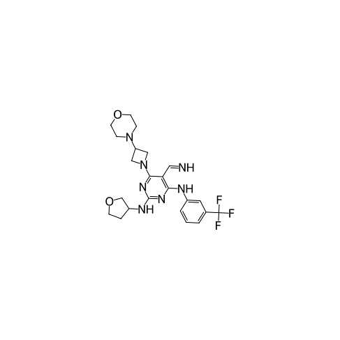 N=Cc1c(Nc2cccc(C(F)(F)F)c2)nc(NC2CCOC2)nc1N1CC(N2CCOCC2)C1